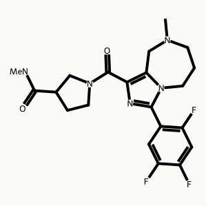 CNC(=O)C1CCN(C(=O)c2nc(-c3cc(F)c(F)cc3F)n3c2CN(C)CCC3)C1